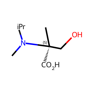 CC(C)N(C)[C@@](C)(CO)C(=O)O